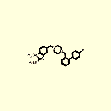 CC(=O)Nc1nc2cc(CN3CCN(Cc4ccccc4-c4ccc(F)cc4)CC3)ccc2n1C